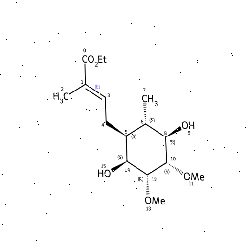 CCOC(=O)/C(C)=C/C[C@H]1[C@H](C)[C@@H](O)[C@H](OC)[C@H](OC)[C@H]1O